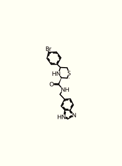 O=C(NCc1ccc2nc[nH]c2c1)[C@@H]1[CH]SCC(c2ccc(Br)cc2)N1